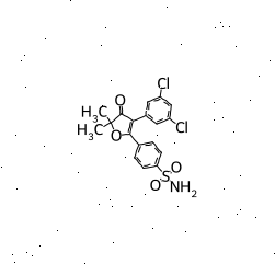 CC1(C)OC(c2ccc(S(N)(=O)=O)cc2)=C(c2cc(Cl)cc(Cl)c2)C1=O